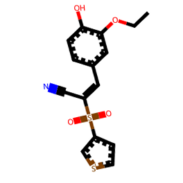 CCOc1cc(/C=C(\C#N)S(=O)(=O)c2ccsc2)ccc1O